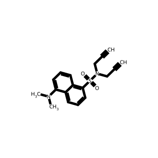 C#CCN(CC#C)S(=O)(=O)c1cccc2c(N(C)C)cccc12